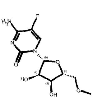 COC[C@H]1O[C@@H](n2cc(F)c(N)nc2=O)[C@H](O)[C@@H]1O